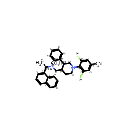 C[C@H](c1cccc2ccccc12)N(CC1CCN(c2c(F)cc(C#N)cc2F)CC1c1ccccc1)C(=O)O